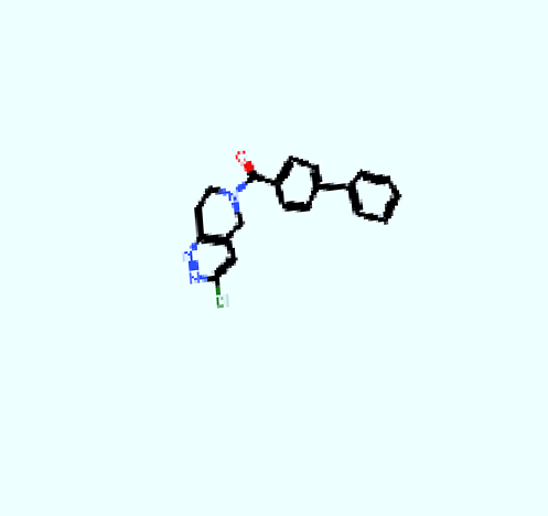 O=C(c1ccc(-c2ccccc2)cc1)N1CCc2nnc(Cl)cc2C1